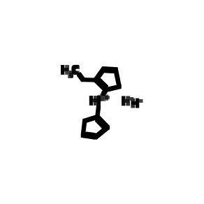 CCC1=[C]([Hf+2][C]2=CC=CC2)CC=C1.[H-].[H-]